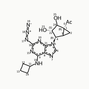 CC(=O)[C@]12CC1[C@@H](n1cnc3c(NC4CCC4)nc(N=[N+]=[N-])nc31)[C@H](O)C2O